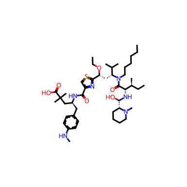 CCCCCCN(C(=O)[C@@H](NC(O)[C@H]1CCCCN1C)[C@@H](C)CC)[C@H](C[C@@H](OCC)c1nc(C(=O)N[C@@H](Cc2ccc(NC)cc2)CC(C)(C)C(=O)O)cs1)C(C)C